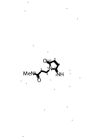 CNC(=O)CCN1C(=N)C=CC1=O